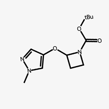 Cn1cc(OC2CCN2C(=O)OC(C)(C)C)cn1